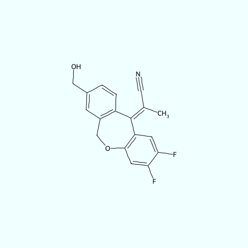 CC(C#N)=C1c2ccc(CO)cc2COc2cc(F)c(F)cc21